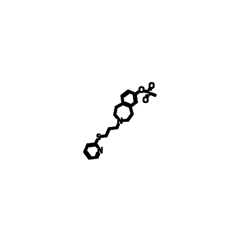 CS(=O)(=O)Oc1ccc2c(c1)CCN(CCCSc1ccccn1)CC2